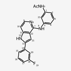 CC(=O)Nc1cccc(Nc2nccc3[nH]c(-c4cccc(F)c4)cc23)c1